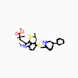 COC(=O)C(C)(C)Cc1[nH]c2ccc(SCc3ccc(-c4ccccc4)cn3)c3c2c1SC(C)C3